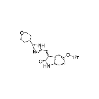 CC(C)Oc1ccc2c(c1)C(=Cc1cnc(C3CCOCC3)[nH]1)C(=O)N2